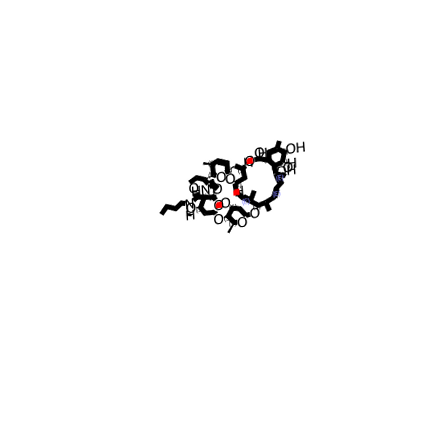 CCCCNC(=O)[C@]1(NC(C)=O)[C@H](C)OC(O[C@H]2[C@H](C)OC(O[C@@H]3/C(C)=C/C[C@@H]4C[C@@H](C[C@]5(C=C[C@H](C)[C@@H](C(C)CC)O5)O4)OC(=O)[C@@H]4C=C(C)[C@@H](O)[C@H]5OC/C(=C\C=C\C3C)[C@]54O)C[C@@H]2OC)C[C@@H]1OC